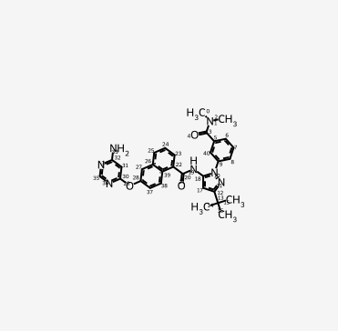 CN(C)C(=O)c1cccc(-n2nc(C(C)(C)C)cc2NC(=O)c2cccc3cc(Oc4cc(N)ncn4)ccc23)c1